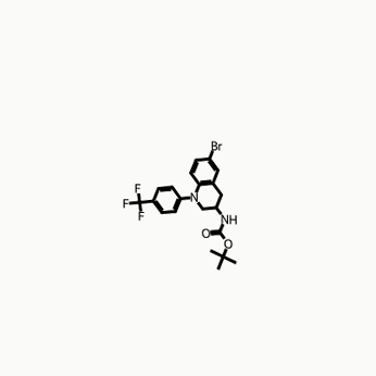 CC(C)(C)OC(=O)NC1Cc2cc(Br)ccc2N(c2ccc(C(F)(F)F)cc2)C1